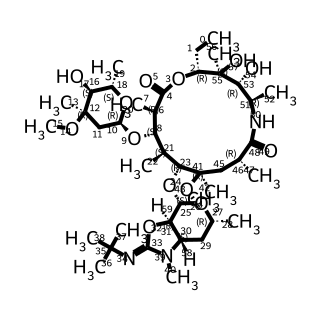 CC[C@H]1OC(=O)[C@H](C)[C@@H](O[C@H]2C[C@@](C)(OC)[C@@H](O)[C@H](C)O2)[C@H](C)[C@@H](O[C@@H]2O[C@H](C)C[C@H]3[C@H]2OC(=NC(C)(C)C)N3C)[C@](C)(OC)C[C@@H](C)C(=O)N[C@H](C)[C@@H](O)[C@]1(C)O